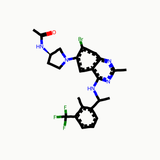 CC(=O)N[C@@H]1CCN(c2cc3c(NC(C)c4cccc(C(F)(F)F)c4C)nc(C)nc3cc2Br)C1